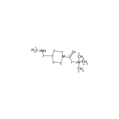 CNCC1CCN(C(=O)C[N+](C)(C)C)CC1